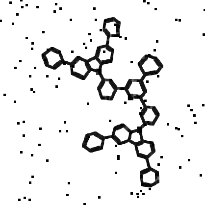 C1=CC2C(C=C1c1ccccc1)c1cc(-c3ccccc3)ccc1N2c1cccc(-c2cc(-c3ccccc3)cc(-c3cccc(-n4c5ccc(-c6ccccc6)cc5c5cc(-c6ccccc6)ccc54)c3)n2)c1